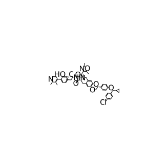 Cc1nc(C(=O)N2Cc3cc4c(cc3C[C@H]2C(=O)NC(Cc2ccc(-c3ccnc(C)c3C)cc2)C(=O)O)OC[C@H](c2ccc(OC(c3ccc(Cl)cc3)C3CC3)cc2)O4)c(C)o1